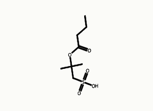 CCCC(=O)OC(C)(C)CS(=O)(=O)O